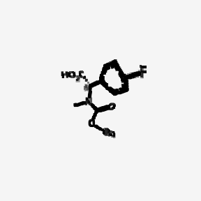 CN(C(=O)OC(C)(C)C)[C@H](C(=O)O)c1ccc(F)cc1